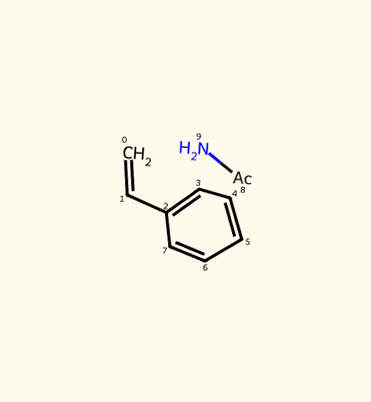 C=Cc1ccccc1.CC(N)=O